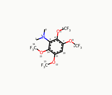 CN(C)c1c(OC(F)(F)F)c(OC(F)(F)F)cc(OC(F)(F)F)c1OC(F)(F)F